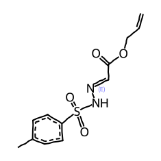 C=CCOC(=O)/C=N/NS(=O)(=O)c1ccc(C)cc1